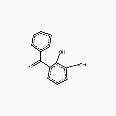 CCCCCCCCc1cccc(C(=O)c2ccccc2)c1O